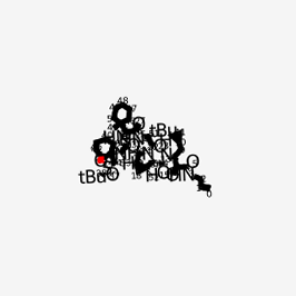 C=CCNC(=O)C(=O)C(CC1CC1)NC(=O)[C@@H]1[C@H]2C[C@H]2CN1C(=O)[C@@H](NC(=O)[C@@H](NC(=O)NC1(CS(=O)(=O)C(C)(C)C)CCCCC1)C1(C)CCCCC1)C(C)(C)C